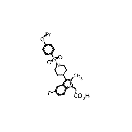 Cc1c(C2CCN(S(=O)(=O)c3ccc(OC(C)C)cc3)CC2)c2cc(F)ccc2n1CC(=O)O